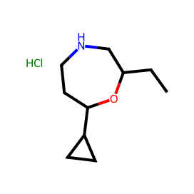 CCC1CNCCC(C2CC2)O1.Cl